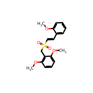 COc1ccccc1/C=C/S(=O)(=O)Cc1c(OC)cccc1OC